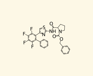 O=C(Nc1nc(-c2c(F)c(F)c(F)c(F)c2-c2ccccc2)cs1)C1CCCN1C(=O)OCc1ccccc1